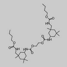 CCCCOC(=O)NCC1(C)CC(NC(=O)OCCOC(=O)NC2CC(C)(C)CC(C)(CNC(=O)OCCCC)C2)CC(C)(C)C1